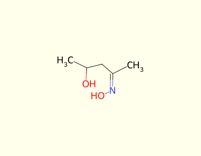 CC(CC(C)O)=NO